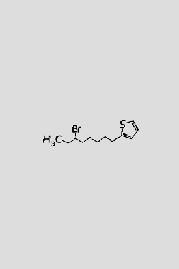 CCC(Br)CCCCCc1cccs1